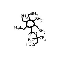 BCc1c(B)c(CB)c(C(=O)OC(CS(=O)(=O)O)(C(F)(F)F)C(F)(F)F)c(CB)c1CB